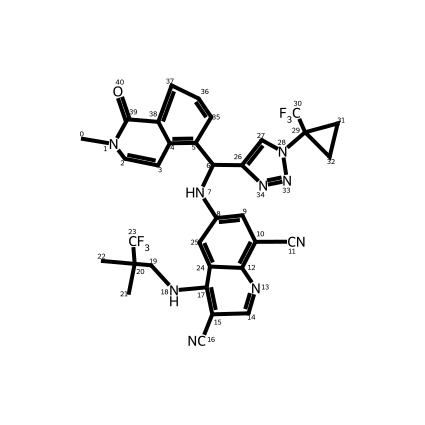 Cn1ccc2c(C(Nc3cc(C#N)c4ncc(C#N)c(NCC(C)(C)C(F)(F)F)c4c3)c3cn(C4(C(F)(F)F)CC4)nn3)cccc2c1=O